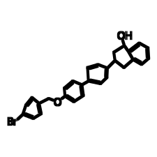 OC1CC(c2ccc(-c3ccc(OCc4ccc(Br)cc4)cc3)cc2)Cc2ccccc21